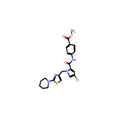 COC(=O)c1ccc(NC(=O)c2cc(Cl)cn2Cc2csc(N3CCCCC3)n2)cc1